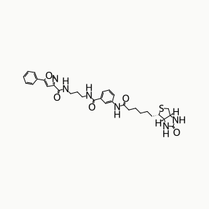 O=C(CCCCC[C@@H]1SC[C@@H]2NC(=O)N[C@@H]21)Nc1cccc(C(=O)NCCCNC(=O)c2cc(-c3ccccc3)on2)c1